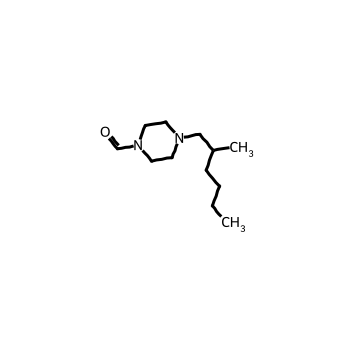 CCCCC(C)CN1CCN(C=O)CC1